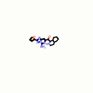 Nc1nc(C(=O)C2NCCC3CCCCC32)cc2nc(-c3ccco3)nn12